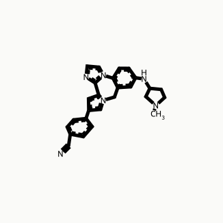 CN1CCC(Nc2ccc3c(c2)Cn2cc(-c4ccc(C#N)cc4)cc2-c2nccn2-3)C1